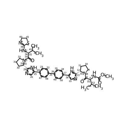 COC(=O)N[C@H](C(=O)N1CCC[C@H]1c1ncc(-c2ccc(-c3ccc(-c4cnc([C@@H]5CCCN5C(=O)[C@@H](NC5=NCCS5)C(C)C)[nH]4)cc3)cc2)[nH]1)C(C)C